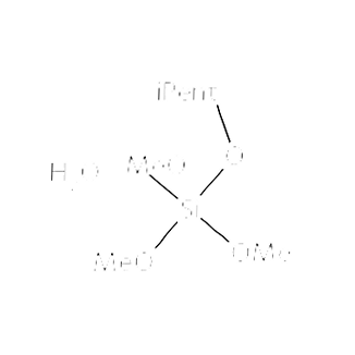 CCCC(C)O[Si](OC)(OC)OC.O